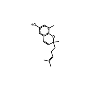 CC(C)=CCCC1(C)C=Cc2cc(O)cc(C)c2O1